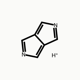 C1=NC=C2C=NC=C12.[H+]